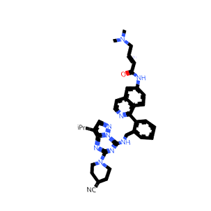 CC(C)c1cnn2c(NCc3ccccc3-c3nccc4cc(NC(=O)/C=C/CN(C)C)ccc34)nc(N3CCC(C#N)CC3)nc12